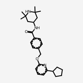 CC1(C)CC(NC(=O)c2ccc(COc3cccc(C4CCCC4)n3)cc2)CC(C)(C)N1